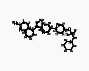 [2H]c1ccc2c(-c3cnn4cc(-c5ccc(OC(C)(C)CN6CCCCC6)cn5)cnc34)cccc2n1